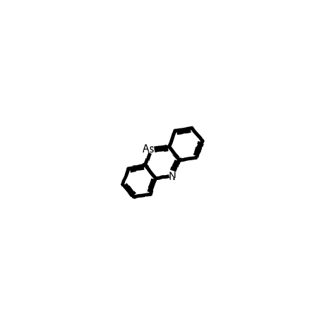 c1ccc2c(c1)N=c1ccccc1=[As]2